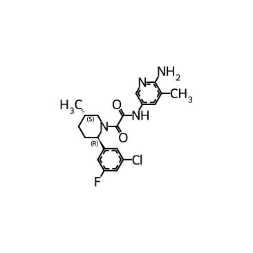 Cc1cc(NC(=O)C(=O)N2C[C@@H](C)CC[C@@H]2c2cc(F)cc(Cl)c2)cnc1N